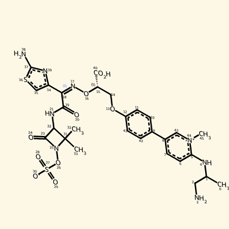 CC(CN)Nc1ccc(-c2ccc(OC[C@H](O/N=C(\C(=O)NC3C(=O)N(OS(=O)(=O)[O-])C3(C)C)c3csc(N)n3)C(=O)O)cc2)c[n+]1C